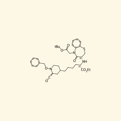 CCOC(=O)[C@H](CCCCC1CCN(OCc2ccccc2)C(=C=O)C1)N[C@H]1CSc2ccccc2N(CC(=O)OC(C)(C)C)C1=O